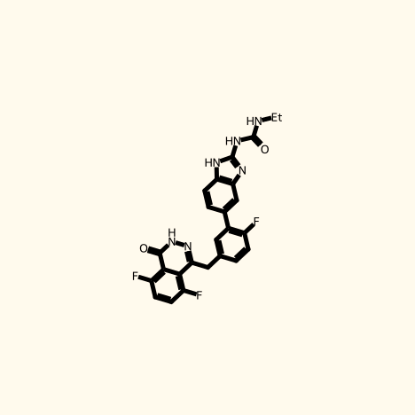 CCNC(=O)Nc1nc2cc(-c3cc(Cc4n[nH]c(=O)c5c(F)ccc(F)c45)ccc3F)ccc2[nH]1